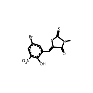 CN1C(=O)/C(=C/c2cc(Br)cc([N+](=O)[O-])c2O)SC1=S